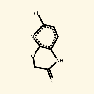 O=C1COc2nc(Cl)ccc2N1